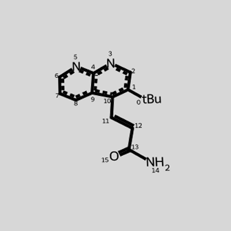 CC(C)(C)c1cnc2ncccc2c1/C=C/C(N)=O